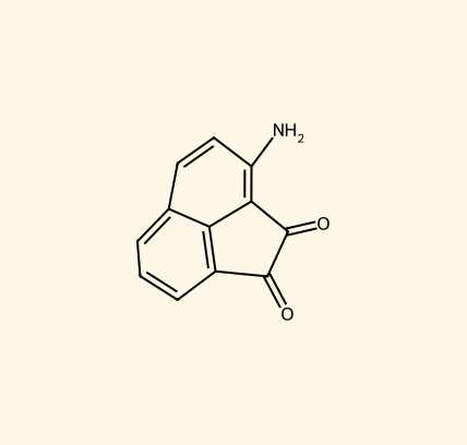 Nc1ccc2cccc3c2c1C(=O)C3=O